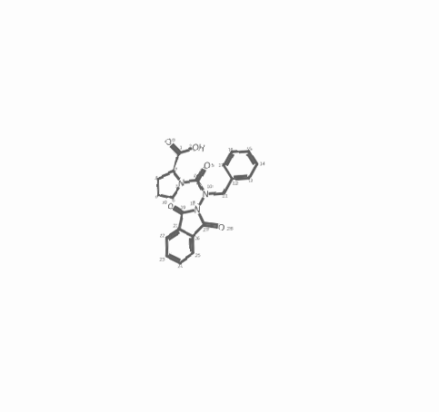 O=C(O)[C@@H]1CCCN1C(=O)N(Cc1ccccc1)N1C(=O)c2ccccc2C1=O